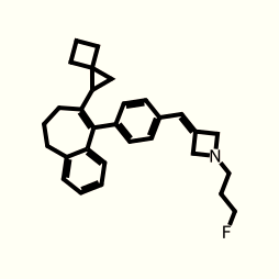 FCCCN1CC(=Cc2ccc(C3=C(C4CC45CCC5)CCCc4ccccc43)cc2)C1